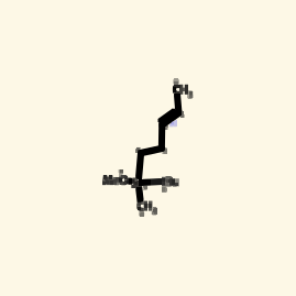 C/C=C/CC[Si](C)(OC)C(C)(C)C